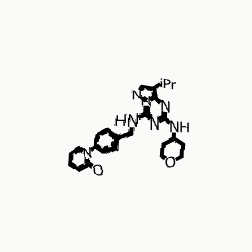 CC(C)c1cnn2c(NCc3ccc(-n4ccccc4=O)cc3)nc(NC3CCOCC3)nc12